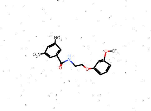 O=C(NCCOc1cccc(OC(F)(F)F)c1)c1cc([N+](=O)[O-])cc([N+](=O)[O-])c1